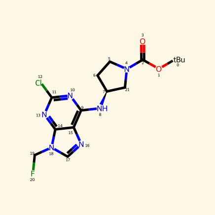 CC(C)(C)OC(=O)N1CC[C@H](Nc2nc(Cl)nc3c2ncn3CF)C1